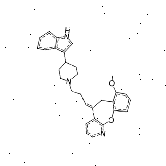 COc1cccc2c1CC(=CCCN1CCC(c3c[nH]c4ccccc34)CC1)c1cccnc1O2